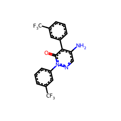 Nc1cnn(-c2cccc(C(F)(F)F)c2)c(=O)c1-c1cccc(C(F)(F)F)c1